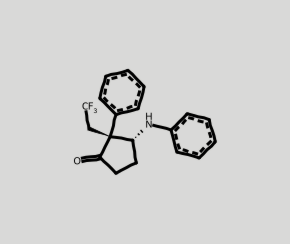 O=C1CC[C@@H](Nc2ccccc2)[C@@]1(CC(F)(F)F)c1ccccc1